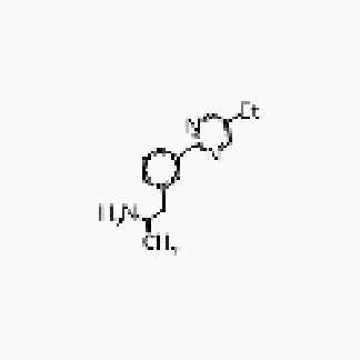 C=C(N)Cc1cccc(-c2ncc(CC)cn2)c1